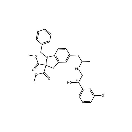 COC(=O)C1(C(=O)OC)Cc2cc(CC(C)NC[C@H](O)c3cccc(Cl)c3)ccc2N1Cc1ccccc1